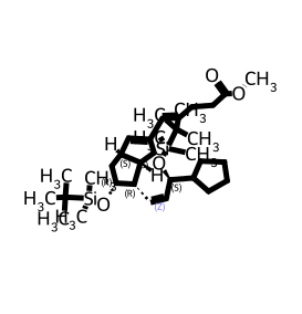 COC(=O)CCC=CC1=C[C@H]2C[C@@H](O[Si](C)(C)C(C)(C)C)[C@@H](/C=C\[C@@H](O[Si](C)(C)C(C)(C)C)C3CCCC3)[C@H]2C1